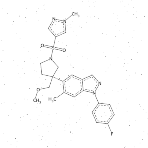 COCC1(c2cc3cnn(-c4ccc(F)cc4)c3cc2C)CCN(S(=O)(=O)c2cnn(C)c2)C1